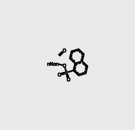 C=O.CCCCCCCCCOS(=O)(=O)c1cccc2ccccc12